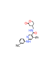 CC(C)c1cc(Nc2cccc(C#N)c2)ncc1C(=O)NCC1CCOC(=O)C1